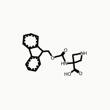 O=C(NC1(C(=O)O)CNC1)OCC1c2ccccc2-c2ccccc21